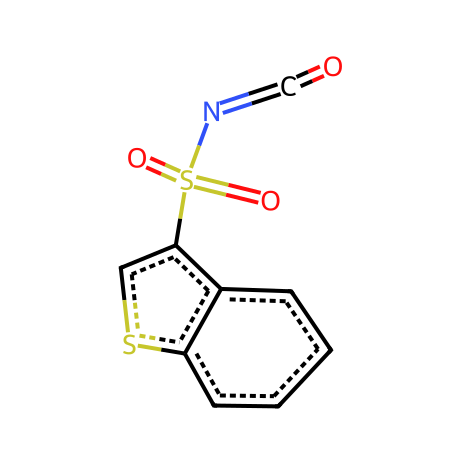 O=C=NS(=O)(=O)c1csc2ccccc12